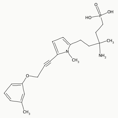 Cc1cccc(OCC#Cc2ccc(CCC(C)(N)CCP(=O)(O)O)n2C)c1